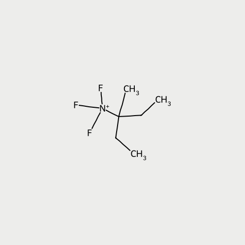 CCC(C)(CC)[N+](F)(F)F